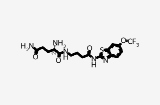 NC(=O)CC[C@H](N)C(=O)NCCCC(=O)Nc1nc2ccc(OC(F)(F)F)cc2s1